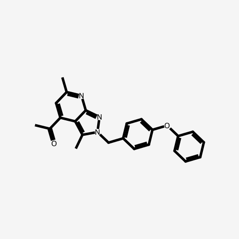 CC(=O)c1cc(C)nc2nn(Cc3ccc(Oc4ccccc4)cc3)c(C)c12